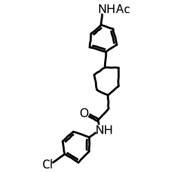 CC(=O)Nc1ccc(C2CCC(CC(=O)Nc3ccc(Cl)cc3)CC2)cc1